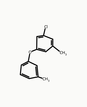 Cc1cccc(Oc2cc(C)cc(Cl)c2)c1